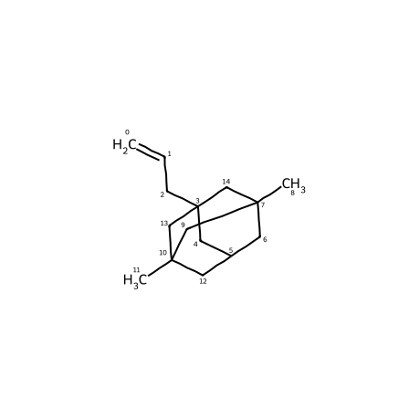 C=CCC12CC3CC(C)(CC(C)(C3)C1)C2